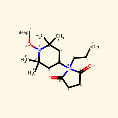 CCCCCCCCCCCC[N+]1(C2CC(C)(C)N(OCCCCCCC)C(C)(C)C2)C(=O)CCC1=O